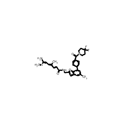 C=N\C(N)=C/C=C(C)/C=C/C(=O)NCc1cc2cc(C(F)(F)F)cc(-c3ccc(C(=O)N4CCC(F)(F)CC4)cc3)c2o1